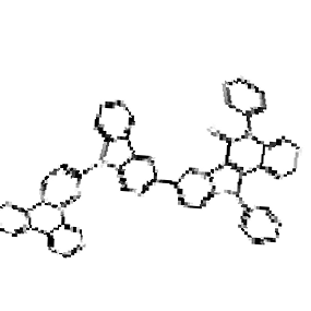 O=c1c2c3cc(-c4ccc5c(c4)c4ccccc4n5-c4ccc5c6ccccc6c6ccccc6c5c4)ccc3n(-c3ccccc3)c2c2ccccc2n1-c1ccccc1